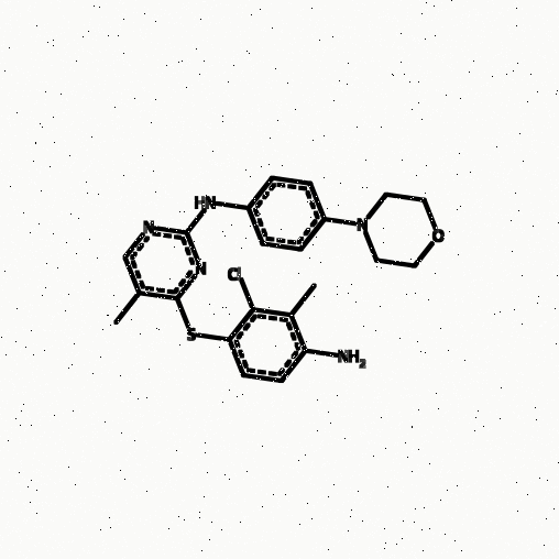 Cc1cnc(Nc2ccc(N3CCOCC3)cc2)nc1Sc1ccc(N)c(C)c1Cl